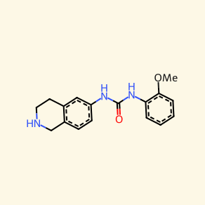 COc1ccccc1NC(=O)Nc1ccc2c(c1)CCNC2